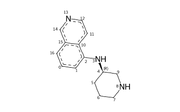 c1cc(N[C@@H]2CCCNC2)c2ccncc2c1